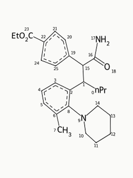 CCCC(c1cccc(C)c1N1CCCCC1)C(C(N)=O)c1ccc(C(=O)OCC)cc1